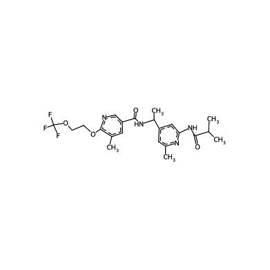 Cc1cc(C(C)NC(=O)c2cnc(OCCOC(F)(F)F)c(C)c2)cc(NC(=O)C(C)C)n1